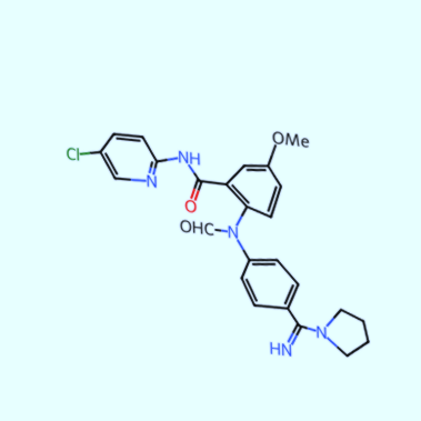 COc1ccc(N(C=O)c2ccc(C(=N)N3CCCC3)cc2)c(C(=O)Nc2ccc(Cl)cn2)c1